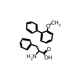 COc1ccccc1-c1ccccc1.NC(Cc1ccccc1)C(=O)O